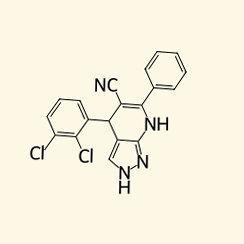 N#CC1=C(c2ccccc2)Nc2n[nH]cc2C1c1cccc(Cl)c1Cl